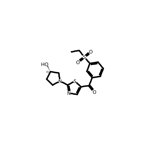 CCS(=O)(=O)c1cccc(C(=O)c2cnc(N3CC[C@H](O)C3)s2)c1